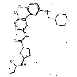 CC[S+]([O-])N[C@@H]1CC[C@H](C(=O)Nc2cc(-c3cc(NCC4CCOCC4)ccc3Cl)c(Cl)cn2)C1